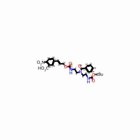 CC(C)(C)OC(=O)NCCN(CCNC(=O)OCC=Cc1ccc([N+](=O)[O-])c(C(=O)O)c1)C(=O)c1ccccc1